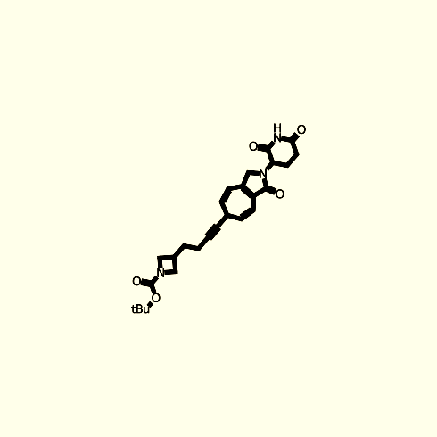 CC(C)(C)OC(=O)N1CC(CCC#CC2C=CC3=C(C=C2)C(=O)N(C2CCC(=O)NC2=O)C3)C1